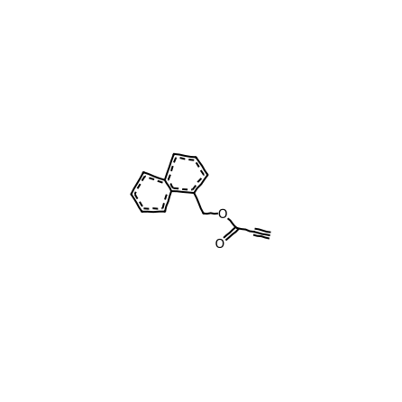 C#CC(=O)OCc1cccc2ccccc12